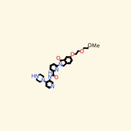 COCCOCCOc1ccc2c(c1)C(=O)N(c1cccc(C(=O)Nc3cnccc3N3CCNCC3)n1)C2